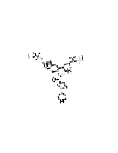 CC(C)(O)CCn1cc2cc(NC(=O)c3csc(-c4ccncc4)n3)c(-c3cncc(C(=O)O)c3)cc2n1